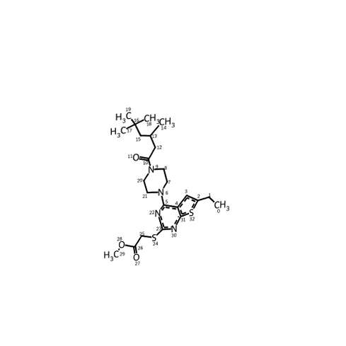 CCc1cc2c(N3CCN(C(=O)CC(C)CC(C)(C)C)CC3)nc(SCC(=O)OC)nc2s1